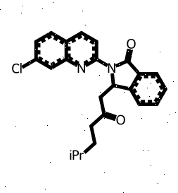 CC(C)CCC(=O)CC1c2ccccc2C(=O)N1c1ccc2ccc(Cl)cc2n1